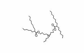 CCCCCCCCC(CCCCCC)C(=O)OCCCCN(CCCC)CCCCOC(=O)C(CCCCCC)CCCCCCCC